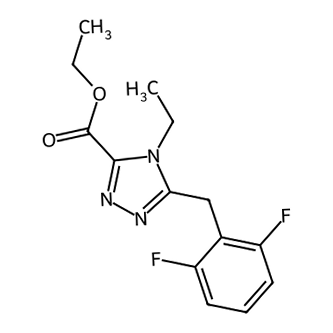 CCOC(=O)c1nnc(Cc2c(F)cccc2F)n1CC